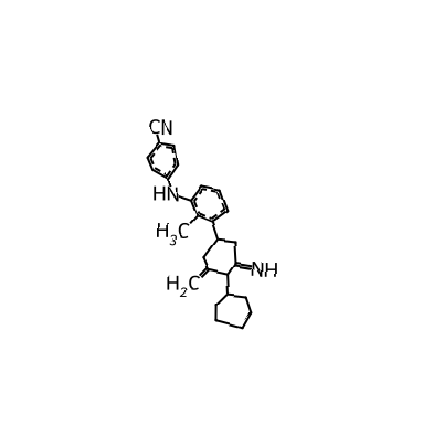 C=C1CC(c2cccc(Nc3ccc(C#N)cc3)c2C)CC(=N)C1C1CCCCC1